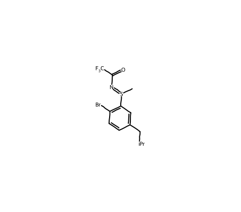 CC(C)Cc1ccc(Br)c(/S(C)=N/C(=O)C(F)(F)F)c1